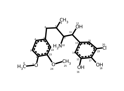 COc1ccc(CC(C)C(N)C(O)c2cc(O)c(O)c(Cl)c2)cc1OC